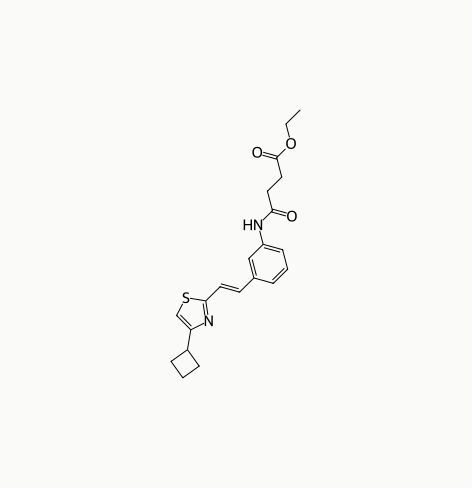 CCOC(=O)CCC(=O)Nc1cccc(C=Cc2nc(C3CCC3)cs2)c1